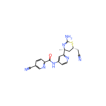 C[C@@]1(c2cc(NC(=O)c3ccc(C#N)cn3)ccn2)C[C@@H](CC#N)SC(N)=N1